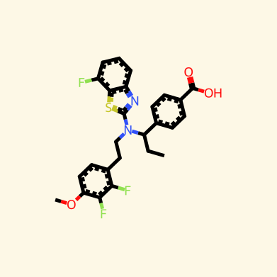 CCC(c1ccc(C(=O)O)cc1)N(CCc1ccc(OC)c(F)c1F)c1nc2cccc(F)c2s1